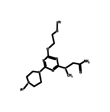 CCCOCCOc1nc(N(C)CC(N)=O)nc(N2CCN(C(C)C)CC2)n1